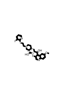 COc1ccc2ncc(F)c([C@H](O)CC[C@H]3CCN(CCSc4ncccc4F)C[C@H]3C(=O)O)c2c1